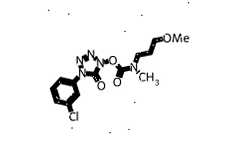 COCCCN(C)C(=O)On1nnn(-c2cccc(Cl)c2)c1=O